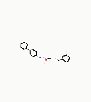 O=C(CCCCc1cccc(I)c1)NCc1ccc(-c2ccccc2)cc1